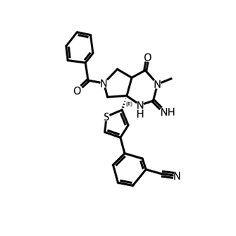 CN1C(=N)N[C@@]2(c3cc(-c4cccc(C#N)c4)cs3)CN(C(=O)c3ccccc3)CC2C1=O